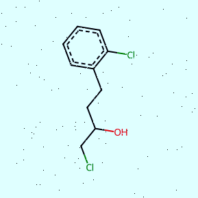 OC(CCl)CCc1ccccc1Cl